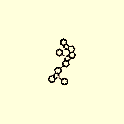 c1ccc(-n2c3ccccc3c3ccc(-c4ccc5c6ccc7ccc8c9ccccc9sc8c7c6n(-c6ccccc6)c5c4)cc32)cc1